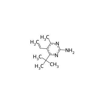 C=Cc1c(C)nc(N)nc1C(C)(C)C